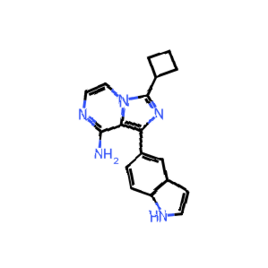 Nc1nccn2c(C3CCC3)nc(C3=CC4C=CNC4C=C3)c12